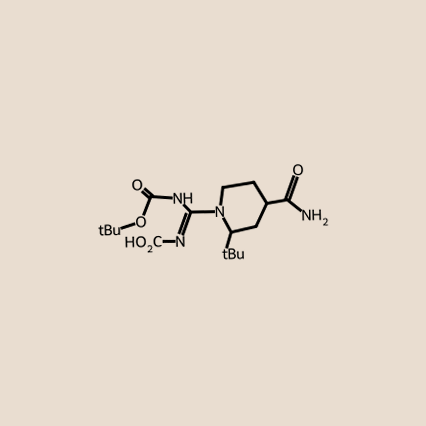 CC(C)(C)OC(=O)NC(=NC(=O)O)N1CCC(C(N)=O)CC1C(C)(C)C